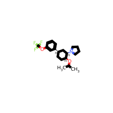 CC(C)O[C@H]1CC[C@H](c2cccc(OC(F)(F)F)c2)C[C@@H]1N1CCCC1